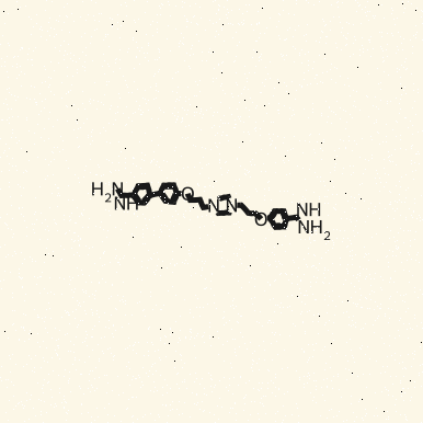 N=C(N)c1ccc(OCCCN2CCN(CCCOc3ccc(-c4ccc(C(=N)N)cc4)cc3)CC2)cc1